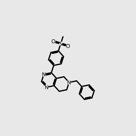 CS(=O)(=O)c1ccc(-c2ncnc3c2CN(Cc2ccccc2)CC3)cc1